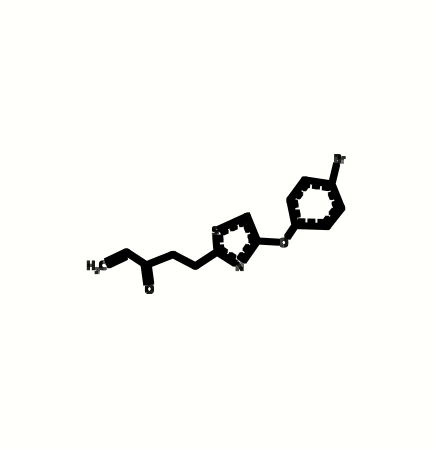 C=CC(=O)CCc1nc(Oc2ccc(Br)cc2)cs1